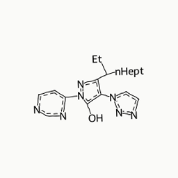 CCCCCCCC(CC)c1nn(-c2ccncn2)c(O)c1-n1ccnn1